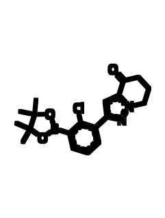 CC1(C)OB(c2cccc(-c3cc4n(n3)CCCC4=O)c2Cl)OC1(C)C